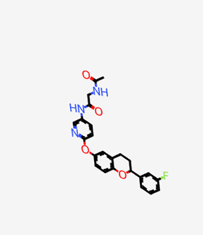 CC(=O)NCC(=O)Nc1ccc(Oc2ccc3c(c2)CCC(c2cccc(F)c2)O3)nc1